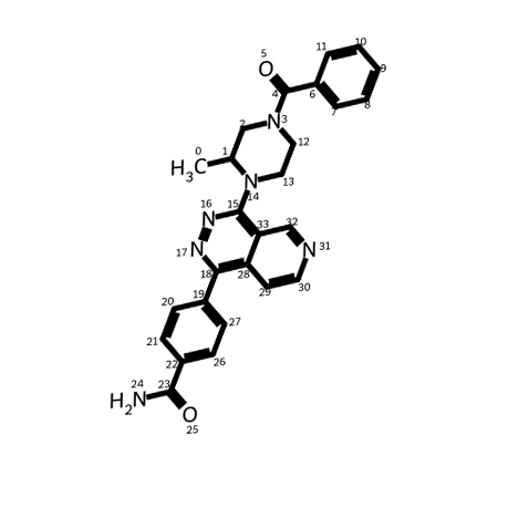 CC1CN(C(=O)c2ccccc2)CCN1c1nnc(-c2ccc(C(N)=O)cc2)c2ccncc12